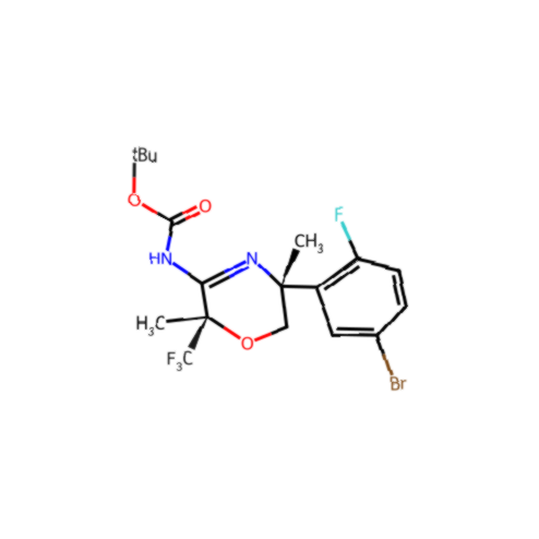 CC(C)(C)OC(=O)NC1=N[C@](C)(c2cc(Br)ccc2F)CO[C@@]1(C)C(F)(F)F